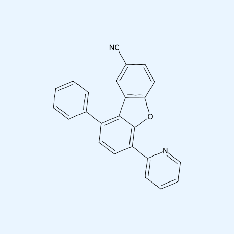 N#Cc1ccc2oc3c(-c4ccccn4)ccc(-c4ccccc4)c3c2c1